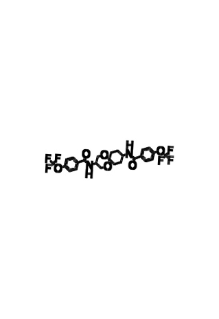 O=C(NC1CCC2(CC1)OCC(NC(=O)c1ccc(OC(F)(F)F)cc1)CO2)c1ccc(OC(F)(F)F)cc1